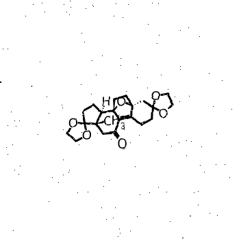 C[C@]12CC(=O)C3=C4CCC5(C[C@]46CC[C@]3(O6)[C@@H]1CCC21OCCO1)OCCO5